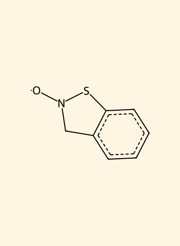 [O]N1Cc2ccccc2S1